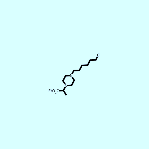 CCOC(=O)C(C)N1CCN(CCCCCCCl)CC1